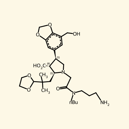 CCCCN(CCCN)C(=O)CN1C[C@H](c2cc(CO)c3c(c2)OCO3)[C@@H](C(=O)O)[C@@H]1CC(C)(C)C1OCCO1